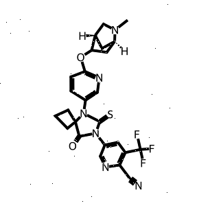 CN1C[C@@H]2C[C@@H]1CC2Oc1ccc(N2C(=S)N(c3cnc(C#N)c(C(F)(F)F)c3)C(=O)C23CCC3)cn1